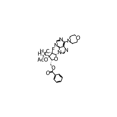 CC(=O)O[C@@]1(C)[C@@H](COC(=O)c2ccccc2)O[C@@H](n2cnc3c(N4CCOCC4)ncnc32)[C@]1(C)F